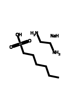 CCCCCCS(=O)(=O)O.NCCN.[NaH]